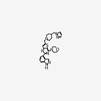 c1cc(-c2nc(N3CCOCC3)c3sc(CN4CCC(Cn5cccn5)CC4)cc3n2)c2cn[nH]c2c1